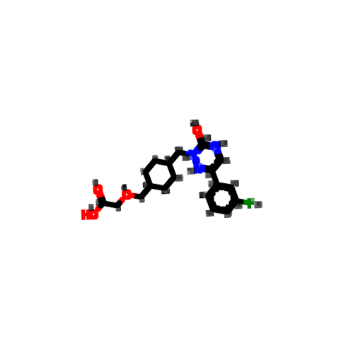 O=C(O)COCC1CCC(Cn2nc(-c3cccc(F)c3)cnc2=O)CC1